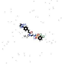 CN(CCNCS(=O)(=O)c1cccc(Cl)c1Cl)C(=O)CCc1ccc(C2=NCCN2)cc1